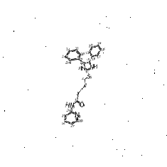 O=C(CCCSc1nc(-c2ccccc2)c(-c2ccccc2)[nH]1)Nc1ccccn1